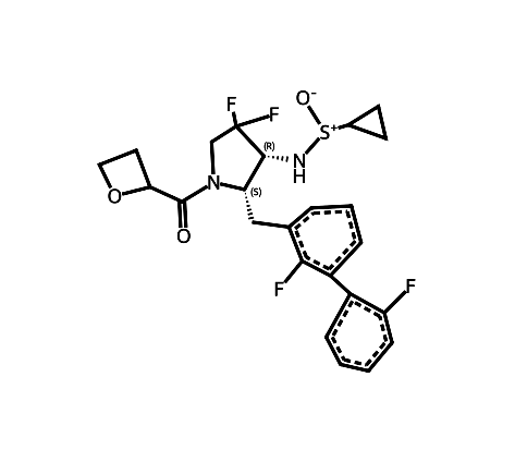 O=C(C1CCO1)N1CC(F)(F)[C@H](N[S+]([O-])C2CC2)[C@@H]1Cc1cccc(-c2ccccc2F)c1F